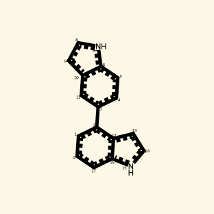 c1cc(-c2ccc3[nH]ccc3c2)c2cc[nH]c2c1